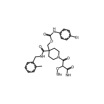 CCc1ccc(NC(=O)OCC2(C(=O)NCc3ccccc3C)CCN(C(=O)C(OC(C)(C)C)C([NH])=O)CC2)cc1